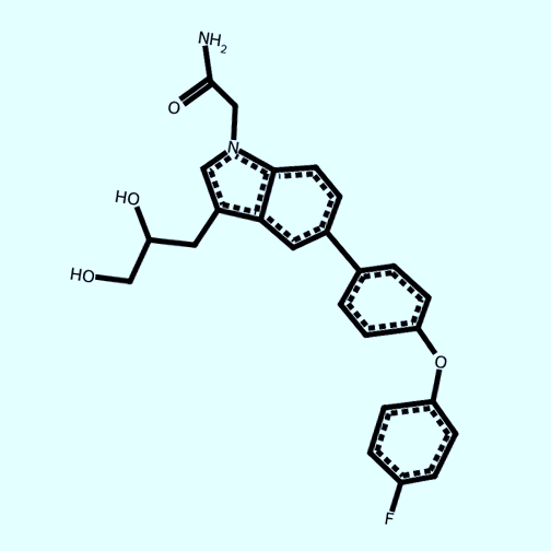 NC(=O)Cn1cc(CC(O)CO)c2cc(-c3ccc(Oc4ccc(F)cc4)cc3)ccc21